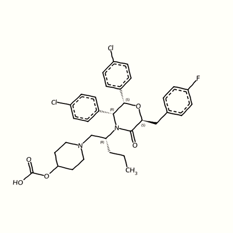 CCC[C@H](CN1CCC(OC(=O)O)CC1)N1C(=O)[C@H](Cc2ccc(F)cc2)O[C@@H](c2ccc(Cl)cc2)[C@H]1c1ccc(Cl)cc1